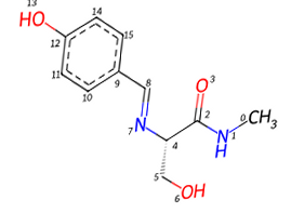 CNC(=O)[C@H](CO)/N=C/c1ccc(O)cc1